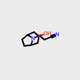 N#CCCN1C2CCC1CC(O)C2